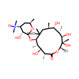 CC[C@H]1OC(=O)[C@H](C)[C@@H](O)[C@H](C)[C@@H](O[C@@H]2O[C@H](C)C[C@H]([N+](C)(C)[O-])[C@H]2O)C(C)(OC)C[C@@H](C)[C@H](O)[C@H](C)[C@@H](O)[C@]1(C)O